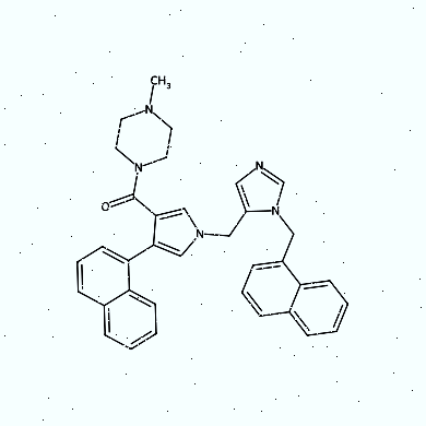 CN1CCN(C(=O)c2cn(Cc3cncn3Cc3cccc4ccccc34)cc2-c2cccc3ccccc23)CC1